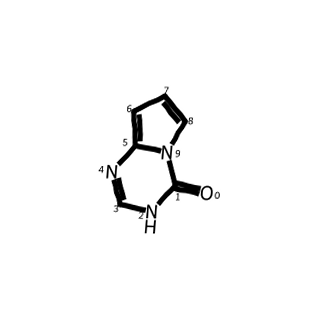 O=c1[nH]cnc2cccn12